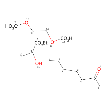 CCCCCC(C)=O.CCOC(=O)C(C)O.O=C(O)OCCOC(=O)O